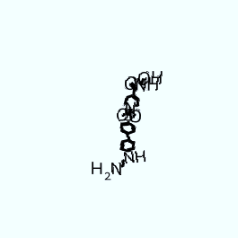 NCCNc1ccc(-c2ccc(S(=O)(=O)N3CC=C(C(=O)NO)CC3)cc2)cc1